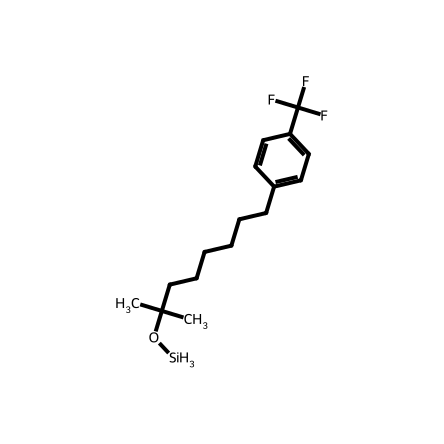 CC(C)(CCCCCCc1ccc(C(F)(F)F)cc1)O[SiH3]